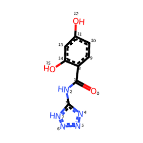 O=C(Nc1nnn[nH]1)c1ccc(O)cc1O